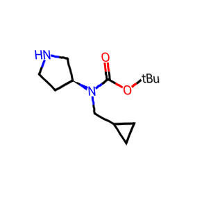 CC(C)(C)OC(=O)N(CC1CC1)[C@H]1CCNC1